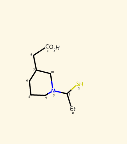 CCC(S)N1CCCC(CC(=O)O)C1